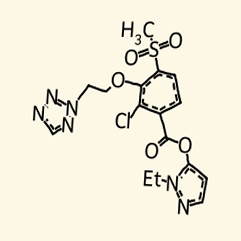 CCn1nccc1OC(=O)c1ccc(S(C)(=O)=O)c(OCCn2ncnn2)c1Cl